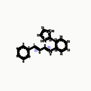 C(=C\c1ccccc1)/C=N/c1ccccc1-c1nccs1